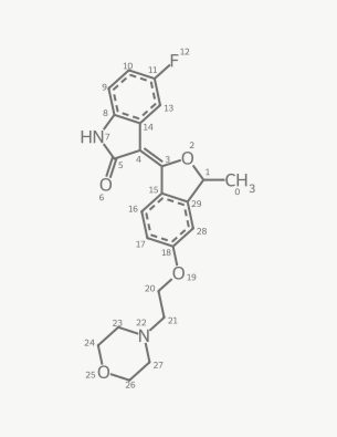 CC1O/C(=C2/C(=O)Nc3ccc(F)cc32)c2ccc(OCCN3CCOCC3)cc21